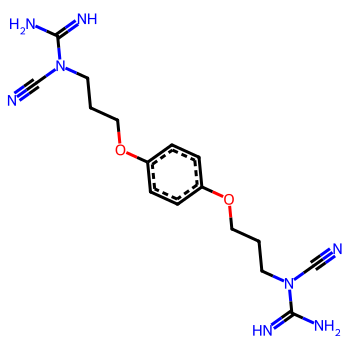 N#CN(CCCOc1ccc(OCCCN(C#N)C(=N)N)cc1)C(=N)N